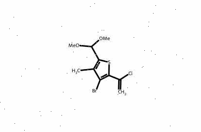 C=C(Cl)c1sc(C(OC)OC)c(C)c1Br